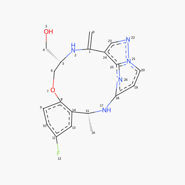 C=C1N[C@@H](CO)COc2ccc(F)cc2[C@@H](C)Nc2ccn3ncc1c3n2